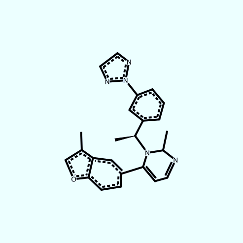 Cc1coc2ccc(C3=CC=NC(C)N3[C@@H](C)c3cccc(-n4nccn4)c3)cc12